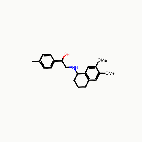 COc1cc2c(cc1OC)C(NCC(O)c1ccc(C)cc1)CCC2